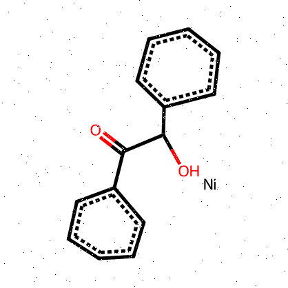 O=C(c1ccccc1)C(O)c1ccccc1.[Ni]